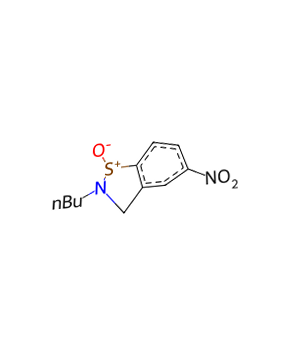 CCCCN1Cc2cc([N+](=O)[O-])ccc2[S+]1[O-]